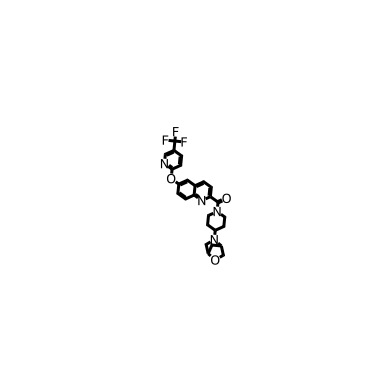 O=C(c1ccc2cc(Oc3ccc(C(F)(F)F)cn3)ccc2n1)N1CCC(N2CC3CC2CO3)CC1